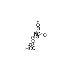 CCOC(Cc1ccc(OCCN(CCCOc2ccc(F)cc2)C(=O)OCCc2ccccc2)cc1)C(=O)O